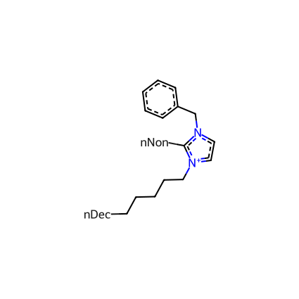 CCCCCCCCCCCCCCC[n+]1ccn(Cc2ccccc2)c1CCCCCCCCC